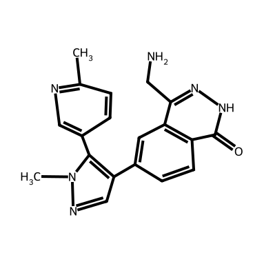 Cc1ccc(-c2c(-c3ccc4c(=O)[nH]nc(CN)c4c3)cnn2C)cn1